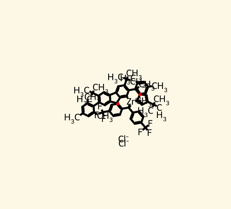 CCC1C=C(C(C)(C)C)C=[C]1[Zr+2](=[C](c1ccc(C(F)(F)F)cc1)c1ccc(C(F)(F)F)cc1)[c]1c2c(cc(C(C)(C)C)c1-c1c(C)cc(C)cc1C)-c1cc(C(C)(C)C)c(-c3c(C)cc(C)cc3C)cc1C2.[Cl-].[Cl-]